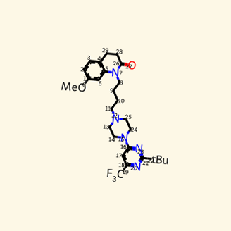 COc1ccc2c(c1)N(CCCCN1CCN(c3cc(C(F)(F)F)nc(C(C)(C)C)n3)CC1)C(=O)CC2